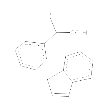 C1=Cc2ccccc2C1.O=C(O)C(O)c1ccccc1